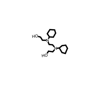 OCCN(CCN(CCO)C1CCCCC1)C1CCCCC1